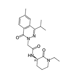 CCN1CCC[C@@H](NC(=O)Cn2nc(C(C)C)c3cc(C)ccc3c2=O)C1=O